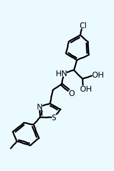 Cc1ccc(-c2nc(CC(=O)NC(c3ccc(Cl)cc3)C(O)O)cs2)cc1